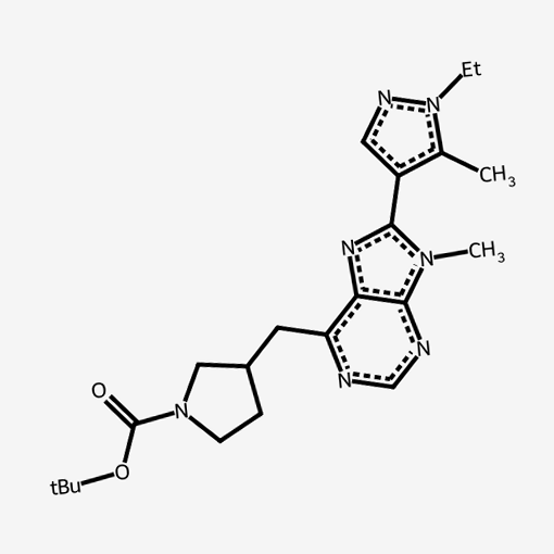 CCn1ncc(-c2nc3c(CC4CCN(C(=O)OC(C)(C)C)C4)ncnc3n2C)c1C